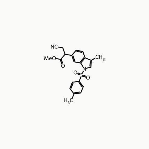 COC(=O)C(CC#N)c1ccc2c(C)cn(S(=O)(=O)c3ccc(C)cc3)c2c1